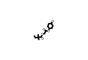 CCC(C)(C)C(=O)OCC(=O)OC1CCC(=O)CC1